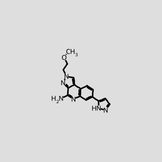 COCCn1cc2c(n1)c(N)nc1cc(-c3ccn[nH]3)ccc12